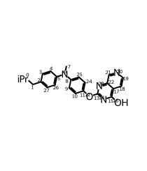 CC(C)Cc1ccc(N(C)c2ccc(Oc3nc(O)c4ccncc4n3)cc2)cc1